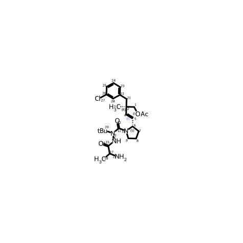 CC(=O)OC[C@@](C)(/C=C/[C@@H]1CCCN1C(=O)N(NC(=O)C(C)N)C(C)(C)C)Cc1cccc(Cl)c1